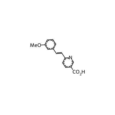 COc1cccc(/C=C/c2ccc(C(=O)O)cn2)c1